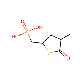 CC1CC(CP(=O)(O)O)SC1=O